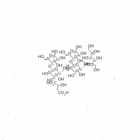 O=C(O)CC(O)C(=O)O.OC[C@@H](O)[C@@H](O)[C@H](O)[C@H](O)CO.OC[C@H]1O[C@@H](O[C@H]2[C@H](O)[C@@H](O)[C@H](O)O[C@@H]2CO)[C@H](O)[C@@H](O)[C@H]1O.OC[C@H]1O[C@H](O[C@H]2[C@H](O)[C@@H](O)[C@H](O)O[C@@H]2CO)[C@H](O)[C@@H](O)[C@@H]1O